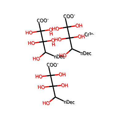 CCCCCCCCCCC(O)C(O)(O)C(O)(O)C(=O)[O-].CCCCCCCCCCC(O)C(O)(O)C(O)(O)C(=O)[O-].CCCCCCCCCCC(O)C(O)(O)C(O)(O)C(=O)[O-].[Cr+3]